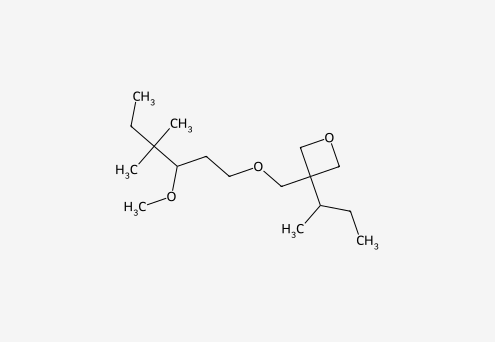 CCC(C)C1(COCCC(OC)C(C)(C)CC)COC1